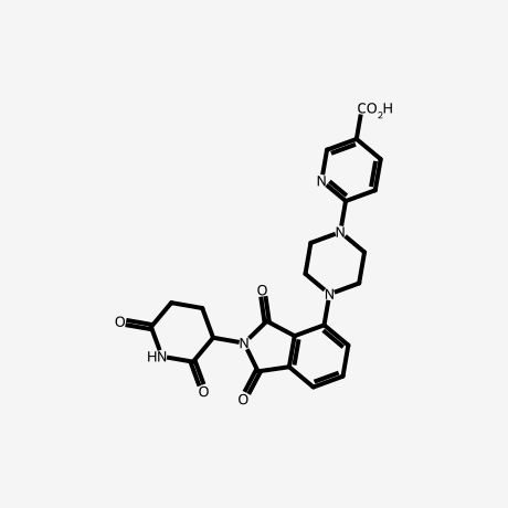 O=C1CCC(N2C(=O)c3cccc(N4CCN(c5ccc(C(=O)O)cn5)CC4)c3C2=O)C(=O)N1